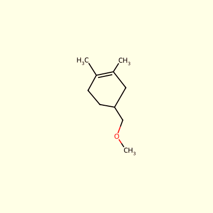 COCC1CCC(C)=C(C)C1